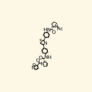 CC(=O)N1CCC[C@H]1C(=O)Nc1ccc(-c2nc(-c3ccc(NC(=O)[C@@H]4C=CCN4C(=O)c4ccno4)cc3)cs2)cc1